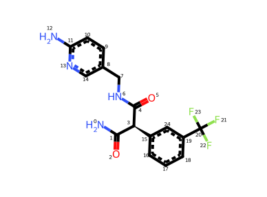 NC(=O)[C@@H](C(=O)NCc1ccc(N)nc1)c1cccc(C(F)(F)F)c1